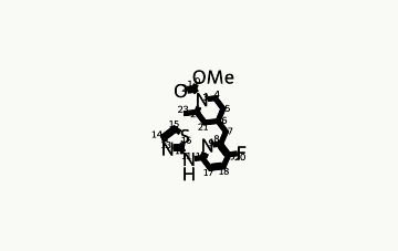 COC(=O)N1CCC(Cc2nc(Nc3nccs3)ccc2F)CC1C